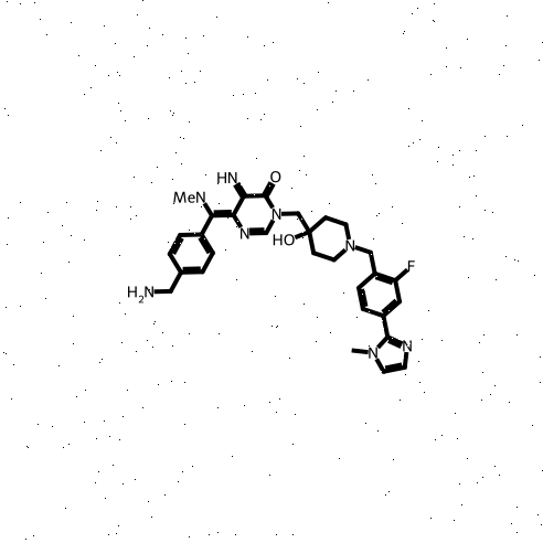 CN/C(=C1/N=CN(CC2(O)CCN(Cc3ccc(-c4nccn4C)cc3F)CC2)C(=O)C1=N)c1ccc(CN)cc1